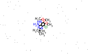 CCC(C)(C)c1nc(N)c2c(NC(C)=O)c(OC)c(OC)c(Cl)c2n1